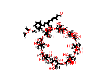 CC1=C(/C=C/C(C)=C/C=C/C(C)=C/C=O)C(C)(C)CCC1.CCOC(C)OCC.OC[C@H]1O[C@@H]2O[C@H]3[C@H](O)[C@@H](O)[C@@H](O[C@H]4[C@H](O)[C@@H](O)[C@@H](O[C@H]5[C@H](O)[C@@H](O)[C@@H](O[C@H]6[C@H](O)[C@@H](O)[C@@H](O[C@H]7[C@H](O)[C@@H](O)[C@@H](O[C@H]8[C@H](O)[C@@H](O)[C@@H](O[C@H]9[C@H](O)[C@@H](O)[C@@H](O[C@H]1[C@H](O)[C@H]2O)O[C@@H]9CO)O[C@@H]8CO)O[C@@H]7CO)O[C@@H]6CO)O[C@@H]5CO)O[C@@H]4CO)O[C@@H]3CO